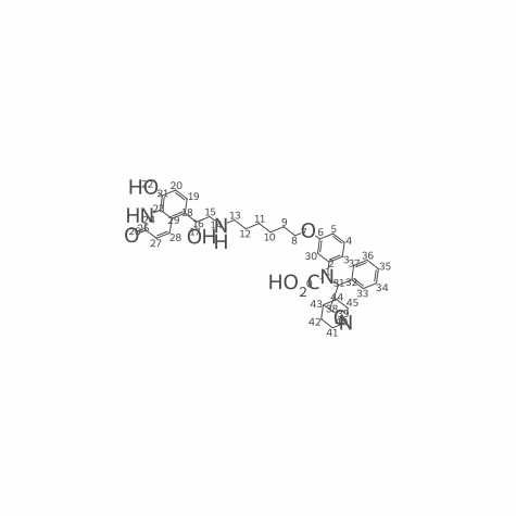 O=C(O)N(c1cccc(OCCCCCCNC[C@H](O)c2ccc(O)c3[nH]c(=O)ccc23)c1)[C@@H](c1ccccc1)C1CN2CCC1CC2